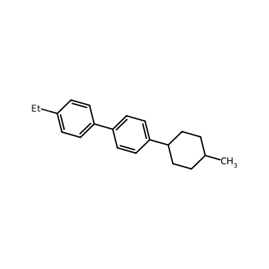 CCc1ccc(-c2ccc(C3CCC(C)CC3)cc2)cc1